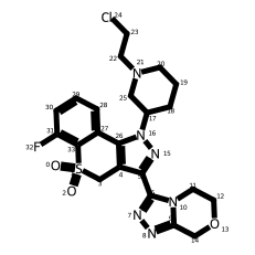 O=S1(=O)Cc2c(-c3nnc4n3CCOC4)nn(C3CCCN(CCCl)C3)c2-c2cccc(F)c21